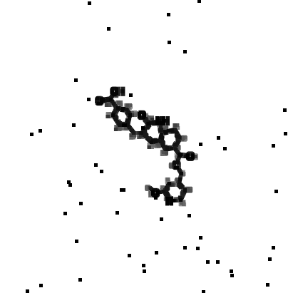 COc1cc(COC(=O)c2ccc3[nH]c(=O)c(Cc4ccc(C(=O)O)cc4)cc3c2)ccn1